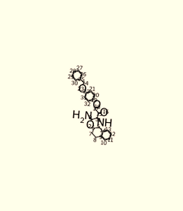 NC(=O)C(NC1CCCc2ccccc21)C(=O)COc1ccc(OCc2ccccc2)cc1